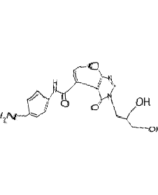 Nc1ccc(NC(=O)c2coc3ncn(CC(O)CO)c(=O)c23)cc1